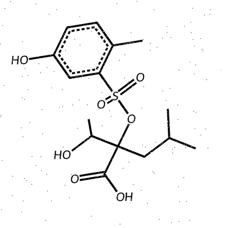 Cc1ccc(O)cc1S(=O)(=O)OC(CC(C)C)(C(=O)O)C(C)O